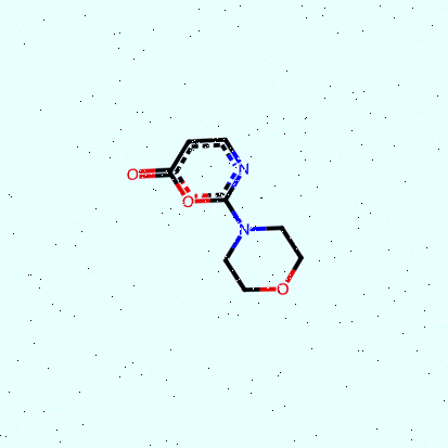 O=c1ccnc(N2CCOCC2)o1